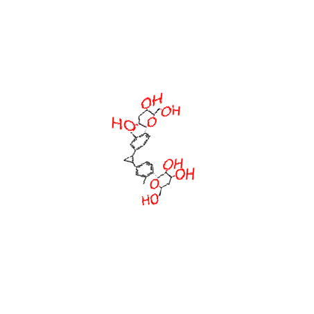 Cc1cc(C2CC2c2ccc([C@H]3O[C@H](CO)[C@@H](O)C[C@@H]3O)c(C)c2)ccc1[C@H]1O[C@H](CO)C[C@H](O)[C@@H]1O